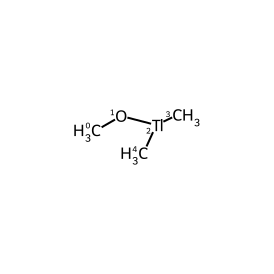 C[O][Tl]([CH3])[CH3]